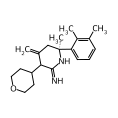 C=C1C[C@@](C)(c2cccc(C)c2C)NC(=N)C1C1CCOCC1